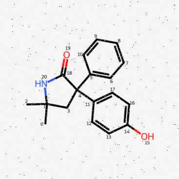 CC1(C)CC(c2ccccc2)(c2ccc(O)cc2)C(=O)N1